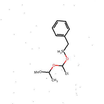 CCC(O[SiH2]Cc1ccccc1)OC(C)OC